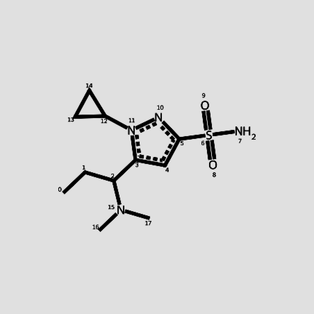 CCC(c1cc(S(N)(=O)=O)nn1C1CC1)N(C)C